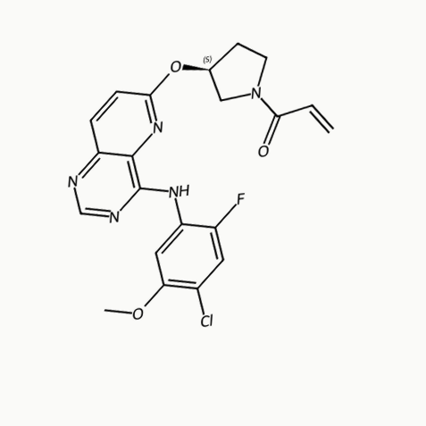 C=CC(=O)N1CC[C@H](Oc2ccc3ncnc(Nc4cc(OC)c(Cl)cc4F)c3n2)C1